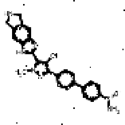 Cn1nc(-c2ccc(-c3ccc([S+](N)[O-])cc3)cc2)c(O)c1-c1nc2cc3c(cc2[nH]1)CNC3